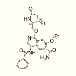 CC[C@@H]1CC(=O)N[C@@H]1COc1ncc(N[S+]([O-])c2ccccc2)c2cc(C(N)=O)c(OC(C)C)cc12